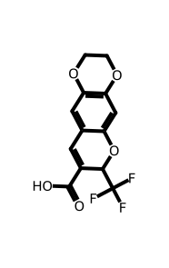 O=C(O)C1=Cc2cc3c(cc2OC1C(F)(F)F)OCCO3